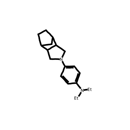 CCN(CC)c1ccc(N2CC3C4CCC(C4)C3C2)cc1